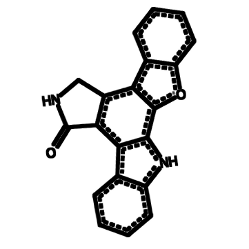 O=C1NCc2c1c1c3ccccc3[nH]c1c1oc3ccccc3c21